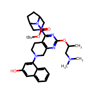 CC(CN(C)C)Oc1nc2c(c(N3CC4CCC(C3)N4C(=O)OC(C)(C)C)n1)CCN(c1cc(O)cc3ccccc13)C2